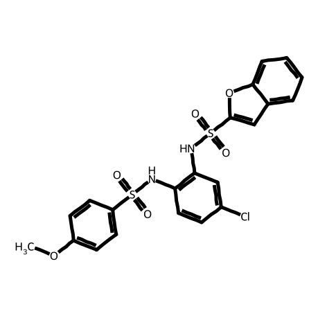 COc1ccc(S(=O)(=O)Nc2ccc(Cl)cc2NS(=O)(=O)c2cc3ccccc3o2)cc1